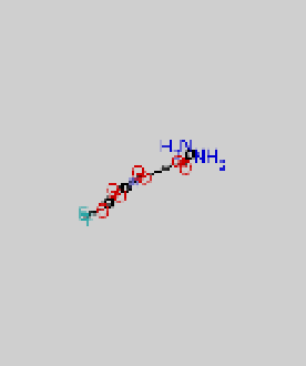 Nc1cc(N)cc(C(=O)OCCCCCCCCOC(=O)/C=C/c2ccc(OC(=O)c3ccc(OCCCC(F)(F)F)cc3)cc2)c1